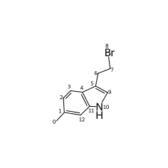 Cc1ccc2c(CCBr)c[nH]c2c1